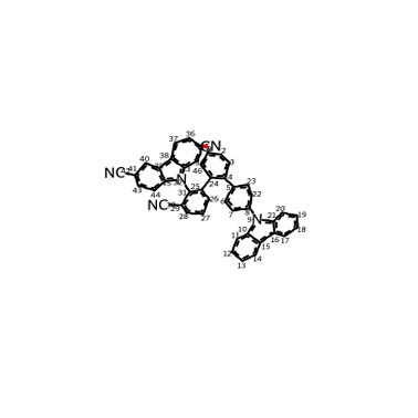 N#Cc1ccc(-c2ccc(-n3c4ccccc4c4ccccc43)cc2)c(-c2cccc(C#N)c2-n2c3ccccc3c3cc(C#N)ccc32)c1